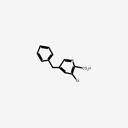 CCc1cc(Cc2ccccc2)cnc1C(=O)O